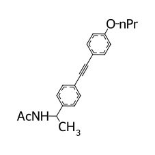 CCCOc1ccc(C#Cc2ccc(C(C)NC(C)=O)cc2)cc1